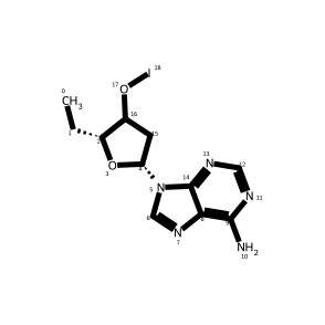 CC[C@H]1O[C@@H](n2cnc3c(N)ncnc32)CC1OI